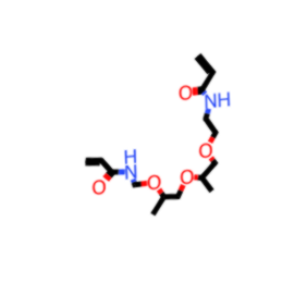 C=CC(=O)NCCOCC(C)OCC(C)OCNC(=O)C=C